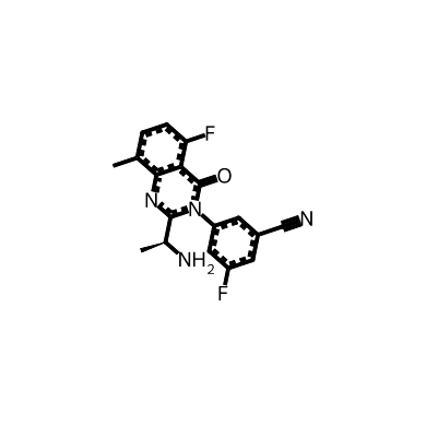 Cc1ccc(F)c2c(=O)n(-c3cc(F)cc(C#N)c3)c([C@H](C)N)nc12